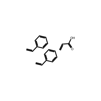 C=CC(=O)O.C=Cc1ccccc1.C=Cc1ccccc1